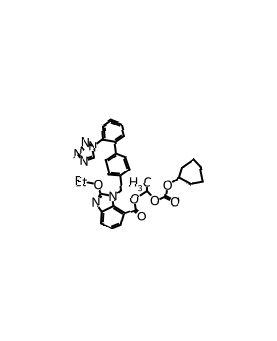 CCOc1nc2cccc(C(=O)OC(C)OC(=O)OC3CCCCC3)c2n1Cc1ccc(-c2ccccc2-n2cnnn2)cc1